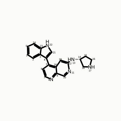 c1ccc2c(-c3ccnc4cnc(N[C@@H]5CCNC5)cc34)c[nH]c2c1